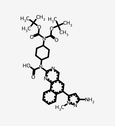 Cn1nc(N)cc1-c1cc2cnc(N(C(=O)O)C3CCC(N(C(=O)OC(C)(C)C)C(=O)OC(C)(C)C)CC3)nc2c2ccccc12